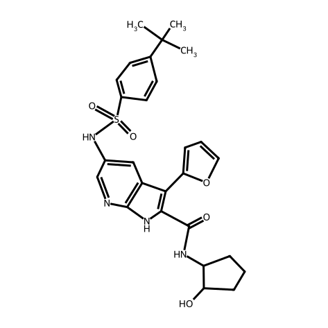 CC(C)(C)c1ccc(S(=O)(=O)Nc2cnc3[nH]c(C(=O)NC4CCCC4O)c(-c4ccco4)c3c2)cc1